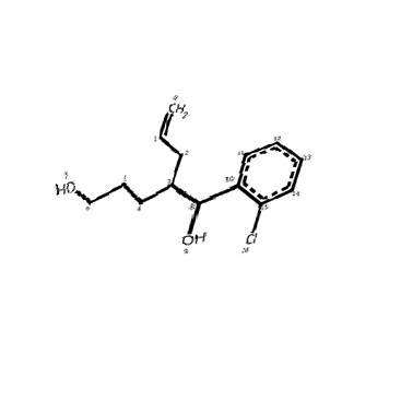 C=CCC(CCCO)C(O)c1ccccc1Cl